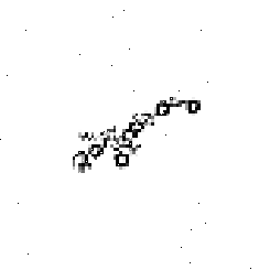 Cc1nccc(-c2ccc(C[C@H](NC(=O)[C@@H]3Cc4cc5c(cc4CN3C(=O)N[C@H](C)c3ccccc3)O[C@@H](c3ccc(OCCc4ccccc4)cc3)CO5)C(=O)O)cc2)c1C